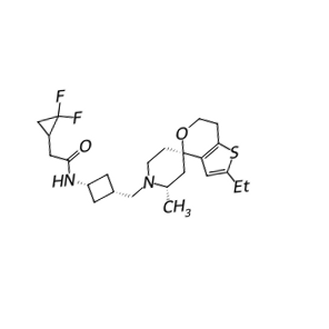 CCc1cc2c(s1)CCO[C@@]21CCN(C[C@H]2C[C@@H](NC(=O)CC3CC3(F)F)C2)[C@@H](C)C1